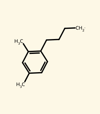 [CH2]CCCc1ccc(C)cc1C